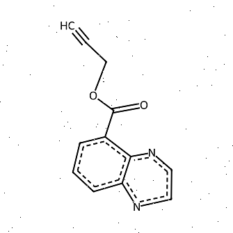 C#CCOC(=O)c1cccc2nccnc12